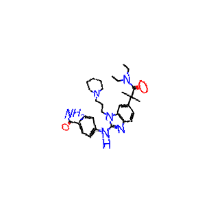 CCN(CC)C(=O)C(C)(C)c1ccc2nc(Nc3ccc(C(N)=O)cc3)n(CCCN3CCCCC3)c2c1